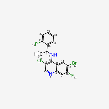 CC(Nc1c(Cl)cnc2cc(F)c(Br)cc12)c1ccccc1F